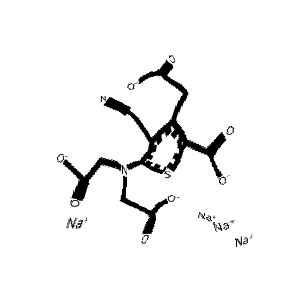 N#Cc1c(N(CC(=O)[O-])CC(=O)[O-])sc(C(=O)[O-])c1CC(=O)[O-].[Na+].[Na+].[Na+].[Na+]